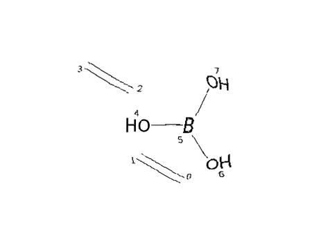 C=C.C=C.OB(O)O